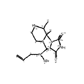 C=CCN(CCCC)C(=S)N1CCNC(C)C1(C)N1CC(=O)NC1=S